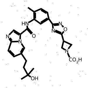 Cc1ccc(-c2noc(C3CN(C(=O)O)C3)n2)cc1NC(=O)c1cnc2ccc(CCC(C)(C)O)cn12